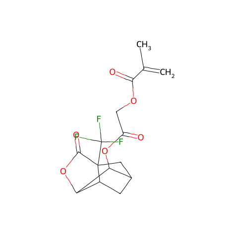 C=C(C)C(=O)OCC(=O)OC1C2CC3C1OC(=O)C3(C(F)(F)F)C2